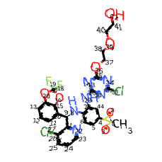 CS(=O)(=O)c1ccc(N[C@@H](c2cccc3c2OC(F)(F)O3)c2ncccc2Cl)c(Nc2nc(Cl)nc(OCCOCCO)n2)c1